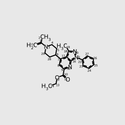 C=C(C)N1CCC(c2cc(C(=O)OCC)nc3c2c(C)nn3-c2ccccc2)CC1